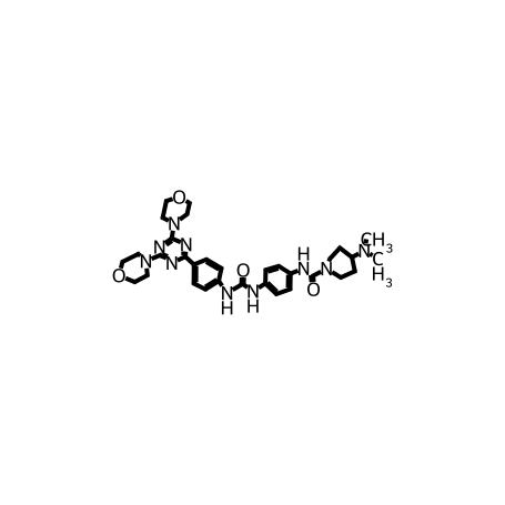 CN(C)C1CCN(C(=O)Nc2ccc(NC(=O)Nc3ccc(-c4nc(N5CCOCC5)nc(N5CCOCC5)n4)cc3)cc2)CC1